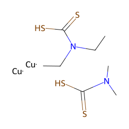 CCN(CC)C(=S)S.CN(C)C(=S)S.[Cu].[Cu]